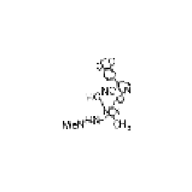 CNCCNCc1c(C)nc(COc2nccc(-c3ccc4c(c3)OCCO4)c2C#N)n1CCO